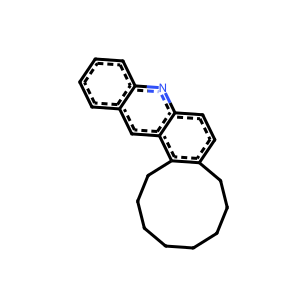 c1ccc2nc3ccc4c(c3cc2c1)CCCCCCCC4